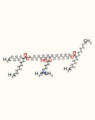 CCCCCCCCC(CCCCCC)C(=O)OCCCCCCCCCC(CCCCCCCCCOC(=O)C(CCCCCC)CCCCCCCC)OC(O)CCCCN(C)C